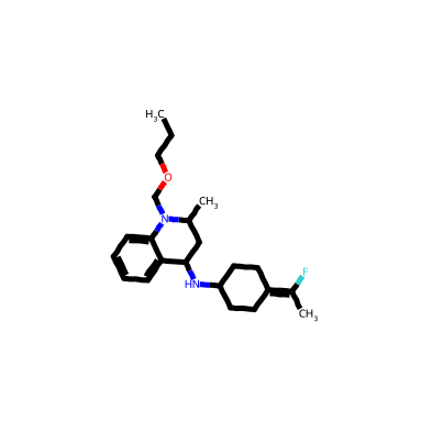 CCCOCN1c2ccccc2C(NC2CCC(=C(C)F)CC2)CC1C